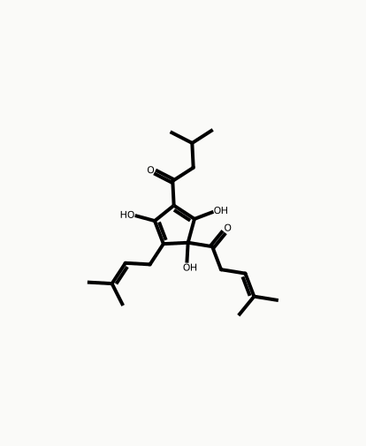 CC(C)=CCC(=O)C1(O)C(O)=C(C(=O)CC(C)C)C(O)=C1CC=C(C)C